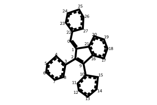 C(=C1C(c2ccccc2)=C(c2ccccc2)c2ccccc21)c1ccccc1